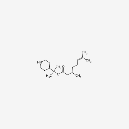 CC(C)=CCCC(C)CC(=O)OC(C)(C)C1CCNCC1